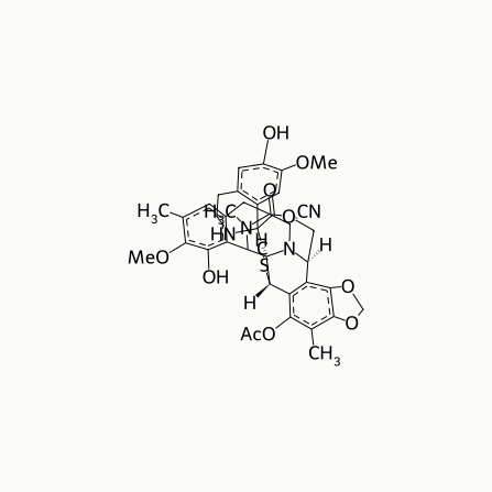 COc1cc2c(cc1O)CCNC21CS[C@H]2c3c(OC(C)=O)c(C)c4c(c3[C@H](COC1=O)N1[C@@H]2C2c3c(cc(C)c(OC)c3O)CC([C@@H]1C#N)N2C)OCO4